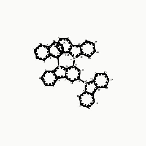 c1ccc2c(-n3c4ccccc4c4cc(-n5c6ccccc6c6ccccc65)cc(-n5c6ccccc6c6ccccc65)c43)cccc2c1